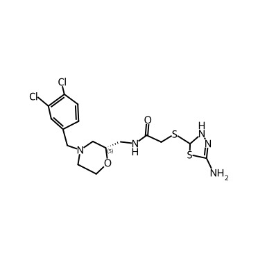 NC1=NNC(SCC(=O)NC[C@H]2CN(Cc3ccc(Cl)c(Cl)c3)CCO2)S1